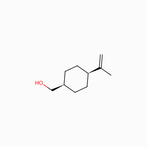 C=C(C)[C@H]1CC[C@@H](CO)CC1